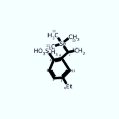 CCc1ccc(S(=O)(=O)O)c(C(C)[Si](C)(C)C)c1